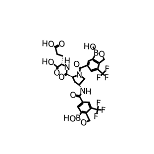 O=C(O)CC[C@H](NC(=O)[C@@H]1C[C@@H](NC(=O)c2cc3c(c(C(F)(F)F)c2)COB3O)CN1C(=O)c1cc2c(c(C(F)(F)F)c1)COB2O)C(=O)O